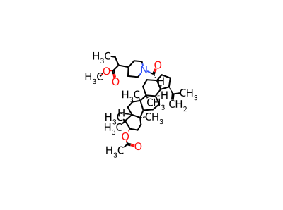 C=C(C)[C@@H]1CC[C@]2(C(=O)N3CCC(C(CC)C(=O)OC)CC3)CC[C@]3(C)[C@H](CCC4[C@@]5(C)CC[C@H](OC(C)=O)C(C)(C)[C@@H]5CC[C@]43C)[C@@H]12